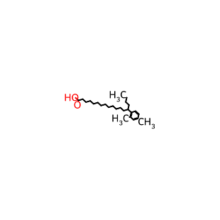 CCCCC(CCCCCCCCCCCCC(=O)O)c1ccc(C)cc1C